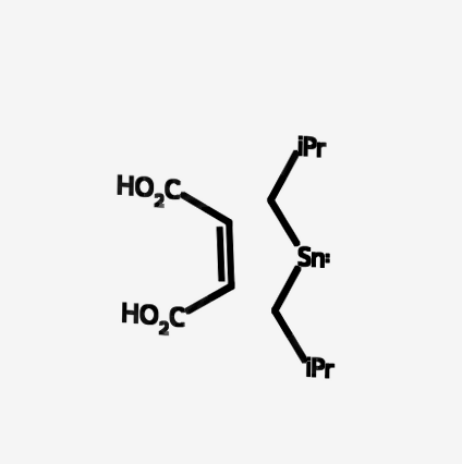 CC(C)[CH2][Sn][CH2]C(C)C.O=C(O)/C=C\C(=O)O